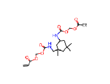 C=CC(=O)OCOC(=O)NCC1(C)CC(NC(=O)OCOC(=O)CC)CC(C)(C)C1